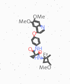 CCC1(NC(=O)C2(C(=O)Nc3ccc(Oc4ccnc5cc(OC)c(OC)cc45)cc3)CC2)CC(COC)C1C